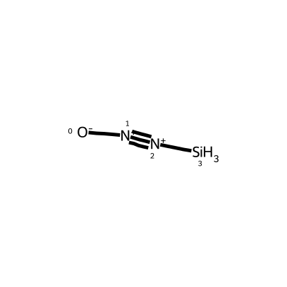 [O-][N+]#[N+][SiH3]